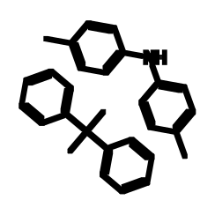 CC(C)(c1ccccc1)c1ccccc1.Cc1ccc(Nc2ccc(C)cc2)cc1